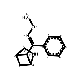 CON=C(c1ccccc1)C1C2CNC1C2